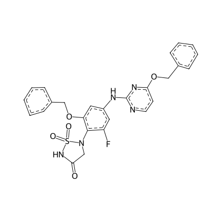 O=C1CN(c2c(F)cc(Nc3nccc(OCc4ccccc4)n3)cc2OCc2ccccc2)S(=O)(=O)N1